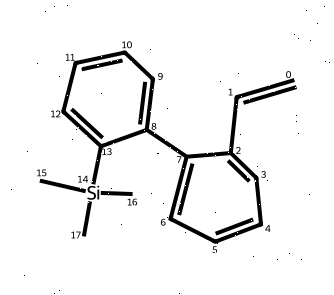 C=Cc1ccccc1-c1ccccc1[Si](C)(C)C